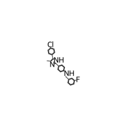 Cc1nc(-c2ccc(NCc3cccc(F)c3)cc2)[nH]c1-c1ccc(Cl)cc1